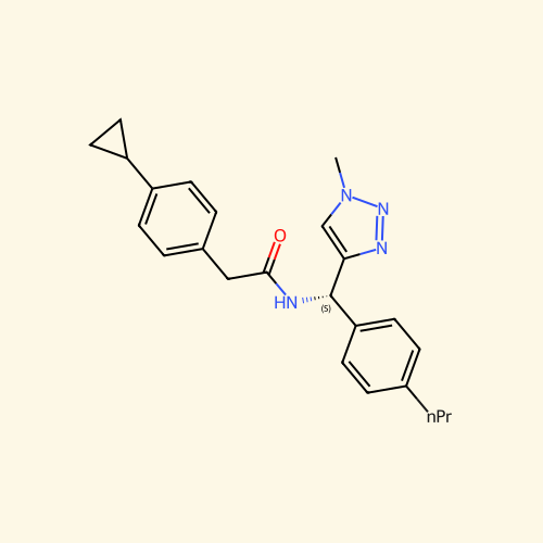 CCCc1ccc([C@H](NC(=O)Cc2ccc(C3CC3)cc2)c2cn(C)nn2)cc1